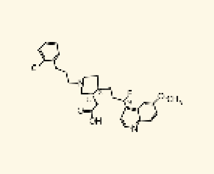 COc1ccc2nccc([C@@H](F)CC[C@@H]3CCN(CCCc4ccccc4Cl)C[C@@H]3CC(=O)O)c2c1